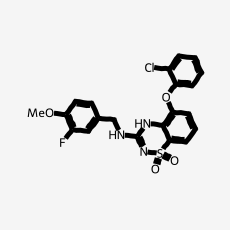 COc1ccc(CNC2=NS(=O)(=O)c3cccc(Oc4ccccc4Cl)c3N2)cc1F